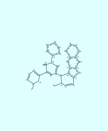 CC1C=CC=C(C2=NC(C3c4c(oc5nc6ccccc6cc45)C=CC3C)=NC(c3ccccc3)N2)C1